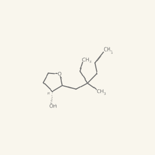 CCCC(C)(CC)CC1OCC[C@H]1O